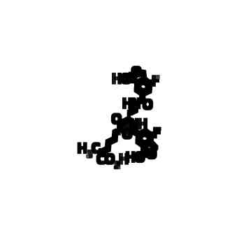 C[C@@H](CCCCNC(=O)[C@H](CCNC(=O)c1cc(F)c2c(c1)B(O)OC2)NC(=O)c1cc(F)c2c(c1)B(O)OC2)C(=O)O